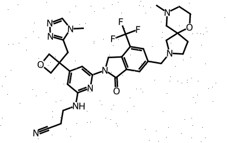 CN1CCOC2(CCN(Cc3cc4c(c(C(F)(F)F)c3)CN(c3cc(C5(Cc6nncn6C)COC5)cc(NCCC#N)n3)C4=O)C2)C1